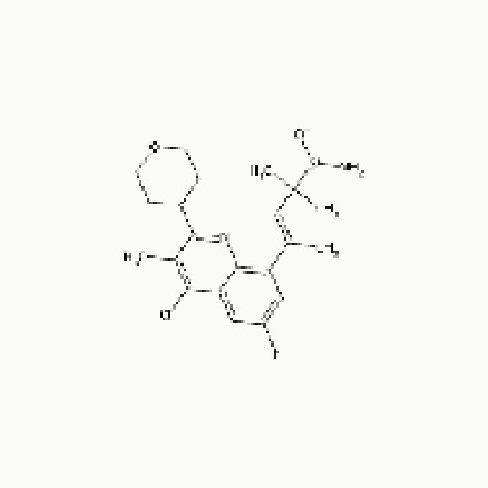 CC(=CC(C)(C)[S+](N)[O-])c1cc(F)cc2c(Cl)c(C)c(C3CCOCC3)nc12